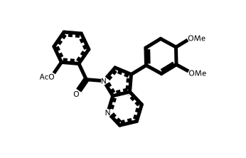 COC1=CC(c2cn(C(=O)c3ccccc3OC(C)=O)c3ncccc23)=CCC1OC